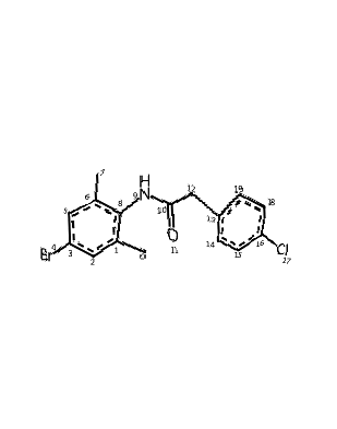 Cc1cc(Br)cc(C)c1NC(=O)Cc1ccc(Cl)cc1